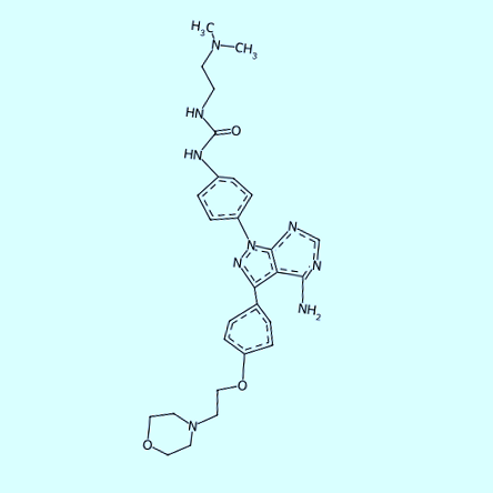 CN(C)CCNC(=O)Nc1ccc(-n2nc(-c3ccc(OCCN4CCOCC4)cc3)c3c(N)ncnc32)cc1